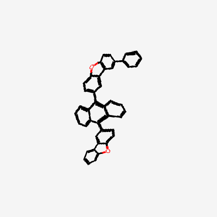 c1ccc(-c2ccc3oc4ccc(-c5c6ccccc6c(-c6ccc7oc8ccccc8c7c6)c6ccccc56)cc4c3c2)cc1